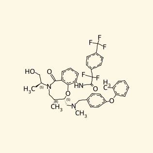 Cc1ccccc1Oc1ccc(CN(C)C[C@H]2Oc3c(NC(=O)C(F)(F)c4ccc(C(F)(F)F)cc4)cccc3C(=O)N([C@@H](C)CO)C[C@H]2C)cc1